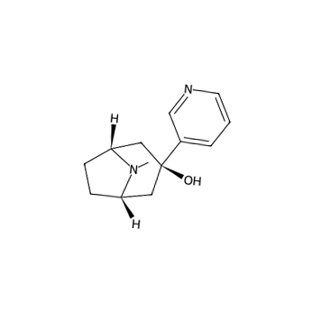 CN1[C@@H]2CC[C@H]1C[C@@](O)(c1cccnc1)C2